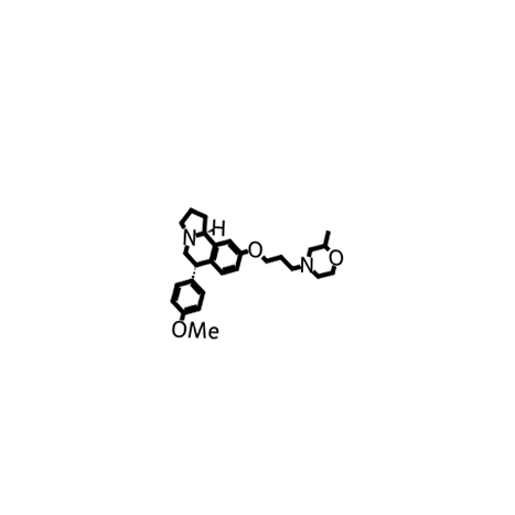 COc1ccc([C@@H]2CN3CCC[C@H]3c3cc(OCCCN4CCOC(C)C4)ccc32)cc1